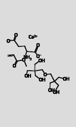 C=CC(=O)OC.NC(CCC(=O)[O-])C(=O)[O-].OCC(CO)(CO)COCC(CO)(CO)CO.[Ca+2]